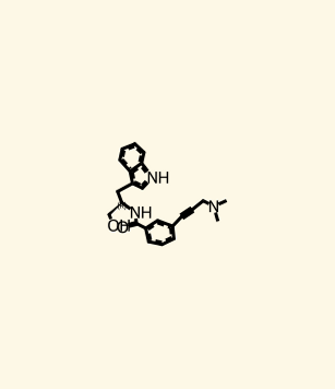 CN(C)CC#Cc1cccc(C(=O)N[C@@H](CO)Cc2c[nH]c3ccccc23)c1